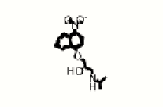 CC(C)NC[C@@H](O)COc1ccc([N+](=O)[O-])c2ccccc12